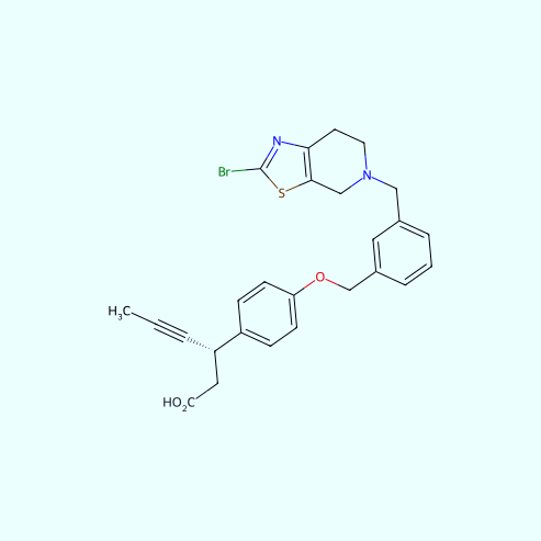 CC#C[C@@H](CC(=O)O)c1ccc(OCc2cccc(CN3CCc4nc(Br)sc4C3)c2)cc1